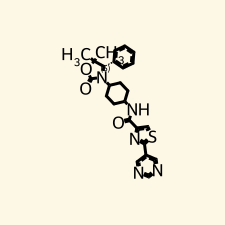 CC1(C)OC(=O)N(C2CCC(NC(=O)c3csc(-c4cncnc4)n3)CC2)[C@H]1c1ccccc1